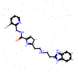 O=C(NCc1ncccc1F)C1=CCC(CCNCCc2nc3ccccc3[nH]2)=N1